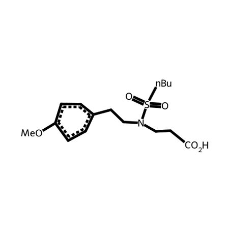 CCCCS(=O)(=O)N(CCC(=O)O)CCc1ccc(OC)cc1